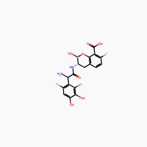 NC(C(=O)N[C@H]1Cc2ccc(F)c(C(=O)O)c2OB1O)c1c(F)cc(O)c(O)c1Cl